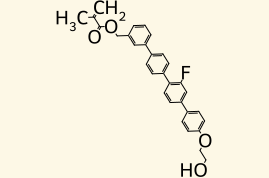 C=C(C)C(=O)OCc1cccc(-c2ccc(-c3ccc(-c4ccc(OCCO)cc4)cc3F)cc2)c1